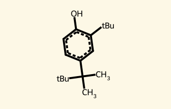 CC(C)(C)c1cc(C(C)(C)C(C)(C)C)ccc1O